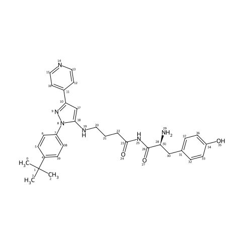 CC(C)(C)c1ccc(-n2nc(-c3ccncc3)cc2NCCCC(=O)NC(=O)[C@@H](N)Cc2ccc(O)cc2)cc1